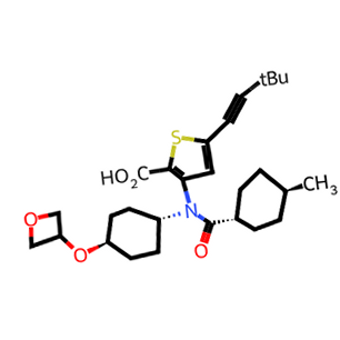 CC(C)(C)C#Cc1cc(N(C(=O)[C@H]2CC[C@H](C)CC2)[C@H]2CC[C@H](OC3COC3)CC2)c(C(=O)O)s1